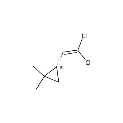 CC1(C)C[C@H]1C=C(Cl)Cl